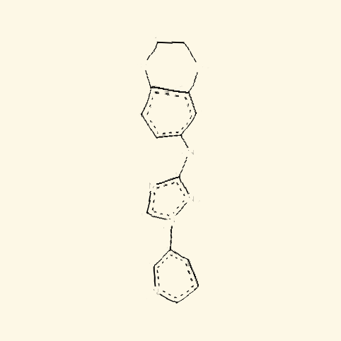 c1cncc(-n2cnc(Nc3ccc4c(c3)OCCO4)n2)c1